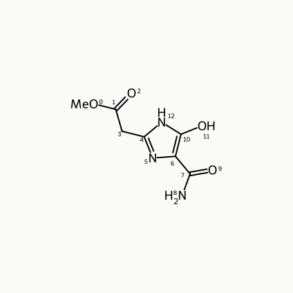 COC(=O)Cc1nc(C(N)=O)c(O)[nH]1